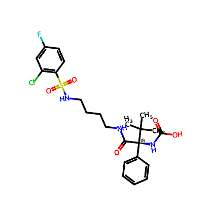 CC(C)(C)[C@@](NC(=O)O)(C(=O)NCCCCNS(=O)(=O)c1ccc(F)cc1Cl)c1ccccc1